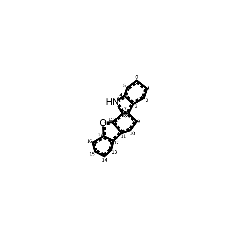 c1ccc2c(c1)[nH]c1c2ccc2c3ccccc3oc21